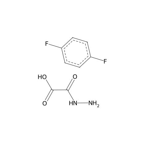 Fc1ccc(F)cc1.NNC(=O)C(=O)O